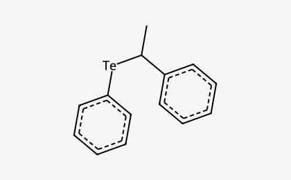 CC([Te]c1ccccc1)c1ccccc1